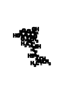 CCC(C)(C)CCC(S)CCC(S)CCC(C)(C)CC(c1cocc(O)c1=O)c1cocc(O)c1=O